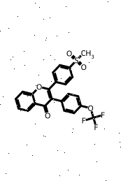 CS(=O)(=O)c1ccc(-c2oc3ccccc3c(=O)c2-c2ccc(OC(F)(F)F)cc2)cc1